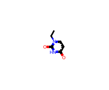 CCn1ccc(=O)[nH]c1=O